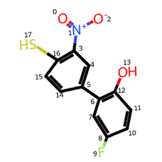 O=[N+]([O-])c1cc(-c2cc(F)ccc2O)ccc1S